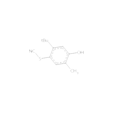 Cc1cc(SC#N)c(C(C)(C)C)cc1O